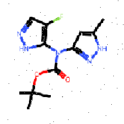 Cc1cc(N(C(=O)OC(C)(C)C)c2[nH]ncc2F)n[nH]1